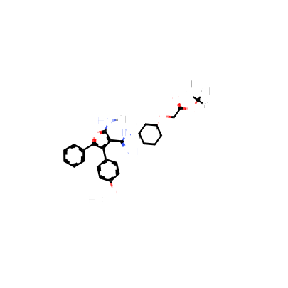 CNc1oc(-c2ccccc2)c(-c2ccc(OC)cc2)c1C(=N)N[C@H]1CCC[C@H](OCC(=O)OC(C)(C)C)C1